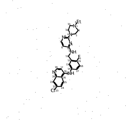 CCN1CCN(c2nccc(NCc3cc(Nc4ccnc5cc(Cl)ccc45)ccc3F)n2)CC1